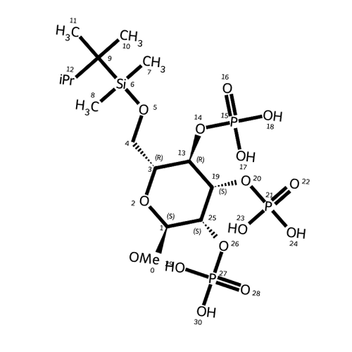 CO[C@H]1O[C@H](CO[Si](C)(C)C(C)(C)C(C)C)[C@@H](OP(=O)(O)O)[C@H](OP(=O)(O)O)[C@@H]1OP(=O)(O)O